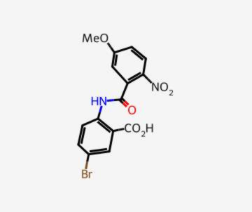 COc1ccc([N+](=O)[O-])c(C(=O)Nc2ccc(Br)cc2C(=O)O)c1